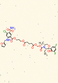 C[C@@H]1CO[C@@](O)(c2cc(F)cc(F)c2)[C@H](C)N1C(=O)OCOC(=O)CCCC(=O)OCCCOC(=O)c1cc(S(N)(=O)=O)c(Cl)cc1NCc1ccco1